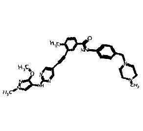 COc1nn(C)cc1Nc1ncc(C#Cc2cc(C(=O)Nc3ccc(CN4CCN(C)CC4)cc3)ccc2C)cn1